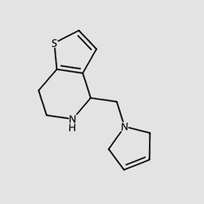 C1=CCN(CC2NCCc3sccc32)C1